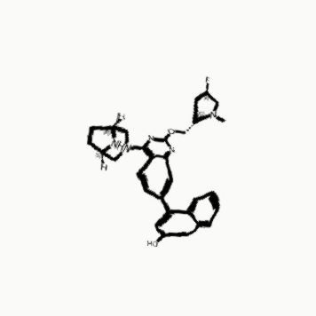 CN1C[C@H](F)C[C@H]1COc1nc(N2C[C@H]3CC[C@@H](C2)N3)c2ccc(-c3cc(O)cc4ccccc34)cc2n1